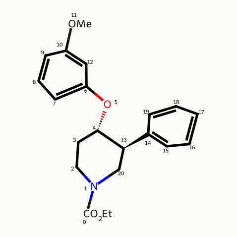 CCOC(=O)N1CC[C@H](Oc2cccc(OC)c2)[C@@H](c2ccccc2)C1